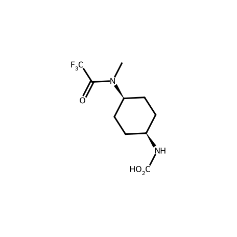 CN(C(=O)C(F)(F)F)[C@H]1CC[C@@H](NC(=O)O)CC1